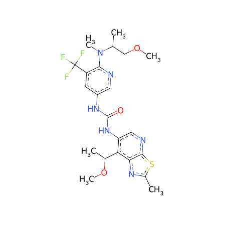 COCC(C)N(C)c1ncc(NC(=O)Nc2cnc3sc(C)nc3c2C(C)OC)cc1C(F)(F)F